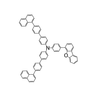 c1ccc2c(-c3ccc(-c4ccc(N(c5ccc(-c6ccc(-c7cccc8ccccc78)cc6)cc5)c5ccc(-c6cccc7c6oc6ccccc67)cc5)cc4)cc3)cccc2c1